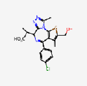 Cc1c(CO)sc2c1C(c1ccc(Cl)cc1)=NC([C@H](C)C(=O)O)c1nnc(C)n1-2